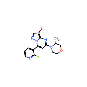 C[C@@H]1COCCN1c1cc(-c2cccnc2F)n2ncc(Br)c2n1